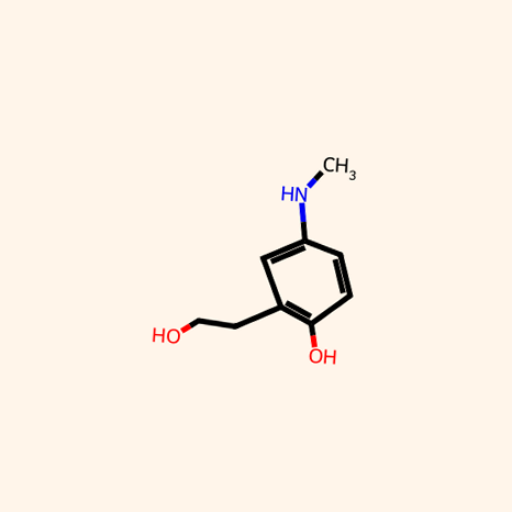 CNc1ccc(O)c(CCO)c1